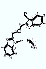 Cn1c(COCc2nc3ccccc3n2C)nc2ccccc21.[Br-].[Br-].[Ni+2]